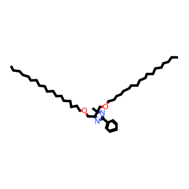 CCCCCCCCCCCCCCCCCCOCC1=NC(c2ccccc2)=NC1(C)COCCCCCCCCCCCCCCCCCC